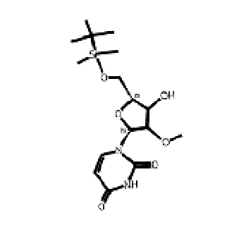 COC1C(O)[C@H](CO[Si](C)(C)C(C)(C)C)O[C@@H]1n1ccc(=O)[nH]c1=O